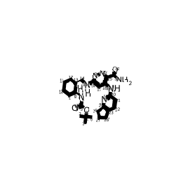 CC(C)(C)OC(=O)N[C@H]1CCCC[C@H]1CNc1cc(Nc2ccc3c(n2)CCC3)c(C(N)=O)nn1